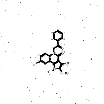 Cn1c(C=O)c(O)c2c(=O)n(CC(=O)c3ccccc3)c3ccc(F)cc3c21